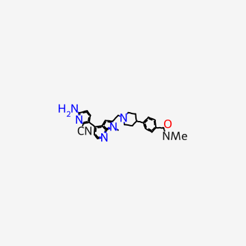 CNC(=O)c1ccc(C2CCN(Cc3cc4c(-c5ccc(N)nc5C#N)ccnc4n3C)CC2)cc1